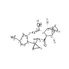 Cc1ccc(C2(NC(=O)[C@H]3[C@H](C(=O)O)[C@H]4CC[C@@H]3C43CC3)CC2)cc1